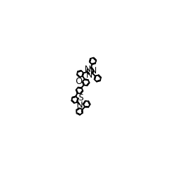 c1ccc(-c2nc(-c3ccccc3)nc(-c3cccc4oc5c(-c6ccc7c(c6)sc6c(-n8c9ccccc9c9ccccc98)cccc67)cccc5c34)n2)cc1